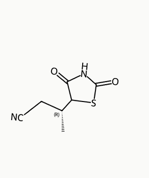 C[C@H](CC#N)C1SC(=O)NC1=O